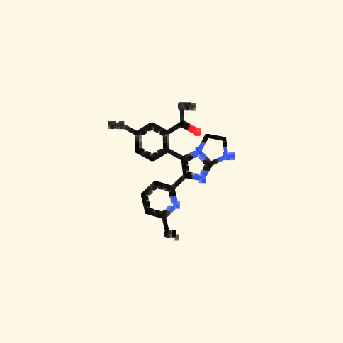 COC(=O)c1cc(SC)ccc1-c1c(-c2cccc(C)n2)nc2n1CCN2